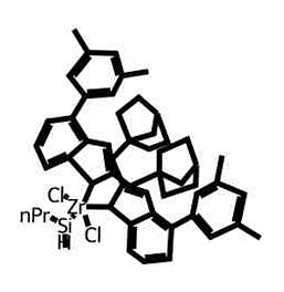 CCC[SiH](C)[Zr]([Cl])([Cl])([CH]1C(CC23CCC(CC2)C3)=Cc2c(-c3cc(C)cc(C)c3)cccc21)[CH]1C(CC23CCC(CC2)C3)=Cc2c(-c3cc(C)cc(C)c3)cccc21